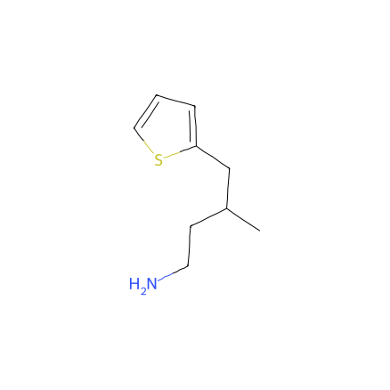 CC(CCN)Cc1cccs1